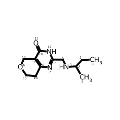 CCC(C)NCc1nc2c(c(=O)[nH]1)COCC2